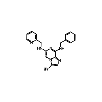 CC(C)c1cnc2c(NCc3ccccc3)nc(NCc3ccccn3)nn12